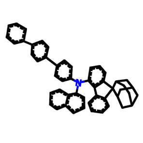 c1ccc(-c2ccc(-c3ccc(N(c4cccc5c4-c4ccccc4C54C5CCC6CC(C5)CC4C6)c4cccc5ccccc45)cc3)cc2)cc1